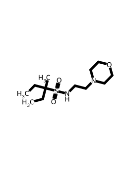 CCC(C)(CC)S(=O)(=O)NCCN1CCOCC1